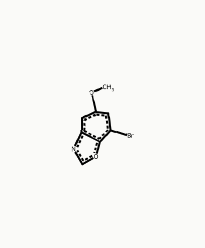 COc1cc(Br)c2ocnc2c1